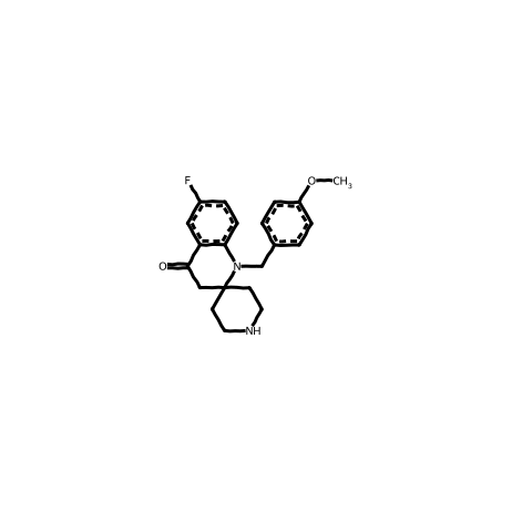 COc1ccc(CN2c3ccc(F)cc3C(=O)CC23CCNCC3)cc1